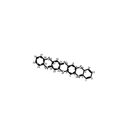 C1=CC2=Nc3cc4c(cc3SC2C=C1)N=c1cc2c(cc1S4)=Nc1ccccc1S2